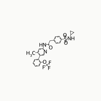 Cc1cc(NC(=O)Cc2ccc(S(=O)(=O)NC3CC3)cc2)ncc1-c1ccccc1OC(F)(F)F